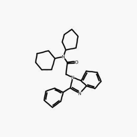 O=C(Cn1c(-c2ccccc2)nc2ccccc21)N(C1CCCCC1)C1CCCCC1